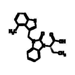 CC[C@@H](C(=O)O)n1c(=O)n(Cc2csc3cccc(C)c23)c2ccccc21